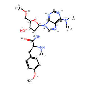 CN[C@@H](Cc1ccc(OC)cc1)C(=O)N[C@@H]1[C@H](O)[C@@H](COC)O[C@H]1n1cnc2c(N(C)C)ncnc21